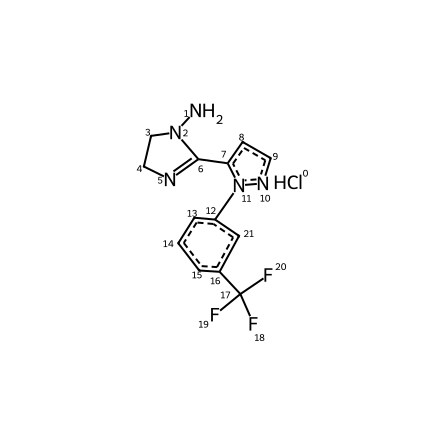 Cl.NN1CCN=C1c1ccnn1-c1cccc(C(F)(F)F)c1